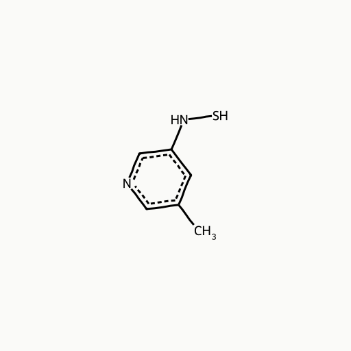 Cc1cncc(NS)c1